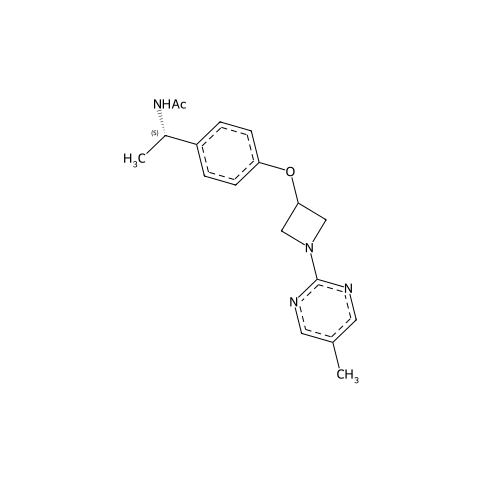 CC(=O)N[C@@H](C)c1ccc(OC2CN(c3ncc(C)cn3)C2)cc1